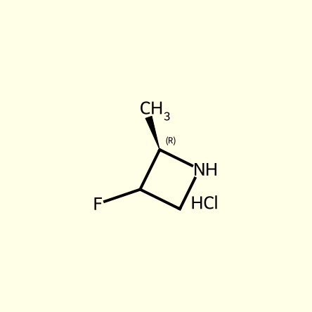 C[C@H]1NCC1F.Cl